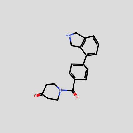 O=C1CCN(C(=O)c2ccc(-c3cccc4c3CNC4)cc2)CC1